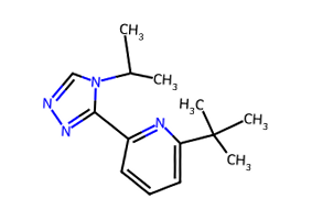 CC(C)n1cnnc1-c1cccc(C(C)(C)C)n1